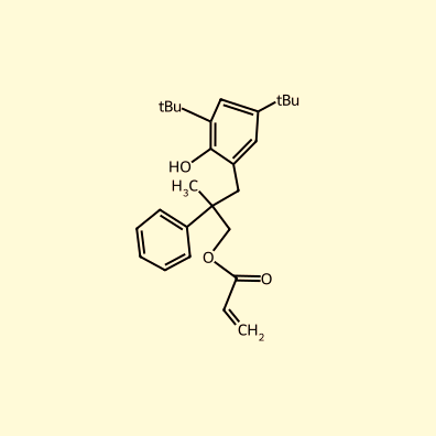 C=CC(=O)OCC(C)(Cc1cc(C(C)(C)C)cc(C(C)(C)C)c1O)c1ccccc1